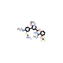 C=Nc1ccc(-c2cc(C(=O)NC(C)c3ccccc3OC(F)(F)F)cnc2OC)cc1SCN